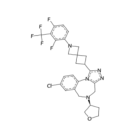 Fc1ccc(N2CC3(CC(c4nnc5n4-c4ccc(Cl)cc4CN([C@H]4CCOC4)C5)C3)C2)c(F)c1C(F)(F)F